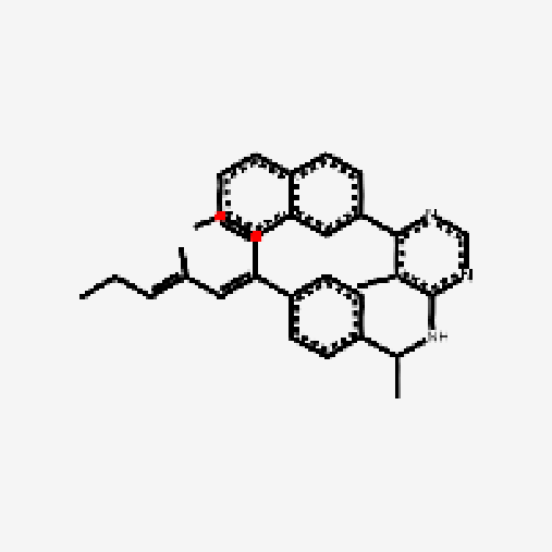 C\C=C/C(=C\C(C)=C\CC)c1ccc(C(C)Nc2ncnc(-c3ccc4ccccc4c3)c2C)cc1